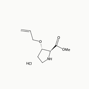 C=CCO[C@H]1CCN[C@@H]1C(=O)OC.Cl